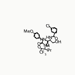 COc1ccc(C(NC(=O)C(CO)NC(=O)c2cccc(Cl)c2)C(=O)NC(C(=O)C(F)(F)F)C(C)C)cc1